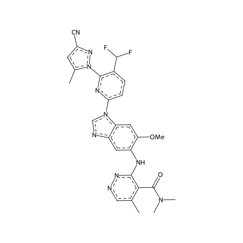 COc1cc2c(cc1Nc1nncc(C)c1C(=O)N(C)C)ncn2-c1ccc(C(F)F)c(-n2nc(C#N)cc2C)n1